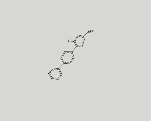 CCCc1ccc(-c2ccc(-c3ccccc3)cc2)c(F)c1